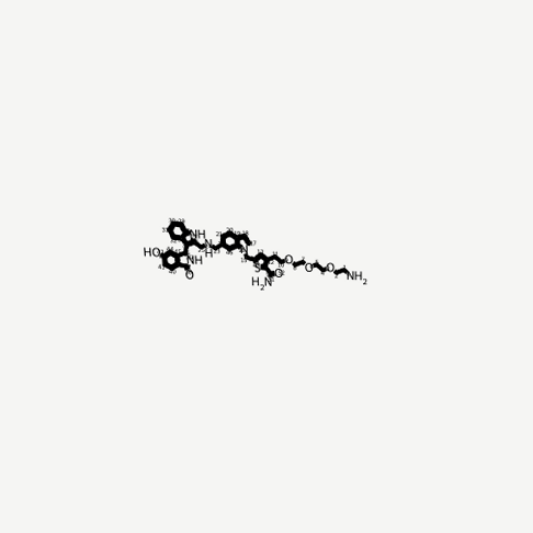 NCCOCCOCCOCCc1cc(Cn2ccc3ccc(CNCc4[nH]c5ccccc5c4C4NC(=O)c5ccc(O)cc54)cc32)sc1C(N)=O